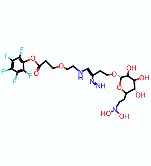 N=N/C(=C\NCCOCCC(=O)Oc1c(F)c(F)c(F)c(F)c1F)CCO[C@H]1OC(CCN(O)O)[C@@H](O)C(O)C1O